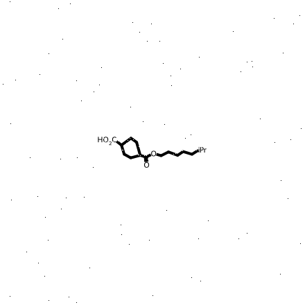 CC(C)CCCCCOC(=O)C1CCC(C(=O)O)CC1